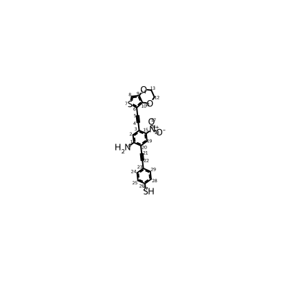 Nc1cc(C#Cc2scc3c2OCCO3)c([N+](=O)[O-])cc1C#Cc1ccc(S)cc1